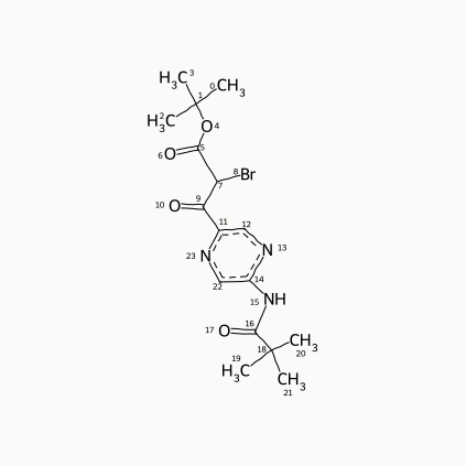 CC(C)(C)OC(=O)C(Br)C(=O)c1cnc(NC(=O)C(C)(C)C)cn1